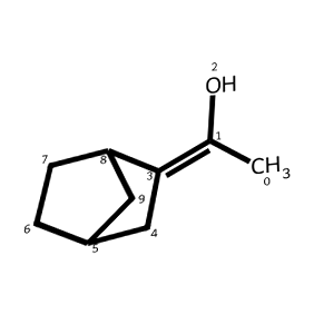 CC(O)=C1CC2CCC1C2